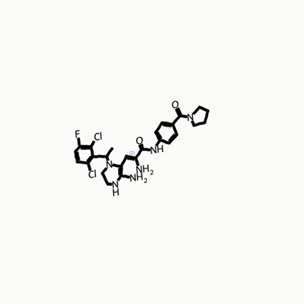 CC(c1c(Cl)ccc(F)c1Cl)N1CCNC(N)=C1/C=C(\N)C(=O)Nc1ccc(C(=O)N2CCCC2)cc1